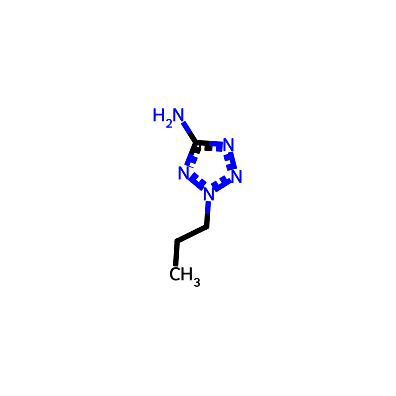 CCCn1nnc(N)n1